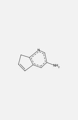 Nc1cnc2c(c1)C=CC2